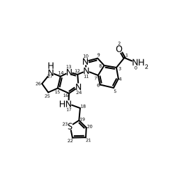 NC(=O)c1cccc2c1cnn2-c1nc2c(c(NCc3cccs3)n1)CCN2